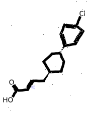 O=C(O)/C=C/C[C@H]1CC[C@H](c2ccc(Cl)cc2)CC1